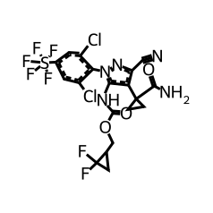 N#Cc1nn(-c2c(Cl)cc(S(F)(F)(F)(F)F)cc2Cl)c(NC(=O)OCC2CC2(F)F)c1C1(C(N)=O)CC1